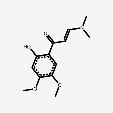 COc1cc(O)c(C(=O)/C=C/N(C)C)cc1OC